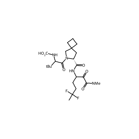 CNC(=O)C(=O)C(CCC(C)(F)F)NC(=O)[C@H]1CC2(CCC2)CN1C(=O)C(NC(=O)O)C(C)(C)C